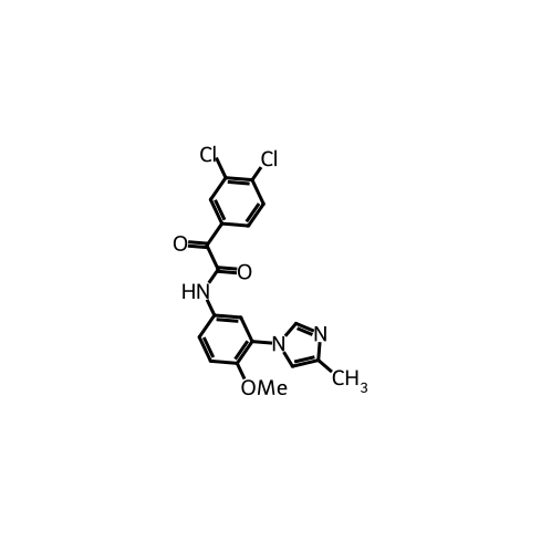 COc1ccc(NC(=O)C(=O)c2ccc(Cl)c(Cl)c2)cc1-n1cnc(C)c1